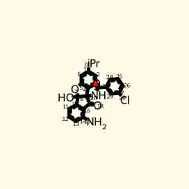 CC(C)c1ccc2c(c1)OC1(O)c3cccc(N)c3C(=O)C21NC(=O)c1cccc(Cl)c1